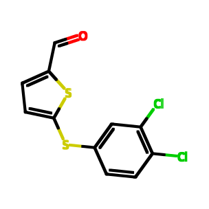 O=Cc1ccc(Sc2ccc(Cl)c(Cl)c2)s1